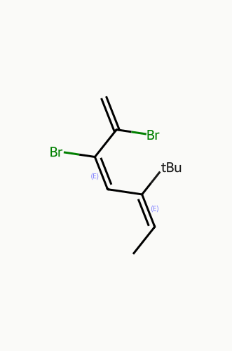 C=C(Br)/C(Br)=C\C(=C/C)C(C)(C)C